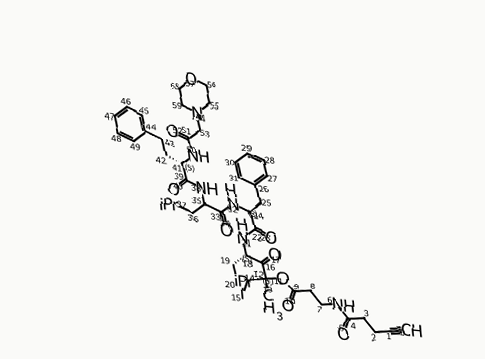 C#CCCC(=O)NCCC(=O)O[C@](C)(CI)C(=O)[C@H](CC(C)C)NC(=O)[C@H](Cc1ccccc1)NC(=O)C(CC(C)C)NC(=O)[C@H](CCc1ccccc1)NC(=O)CN1CCOCC1